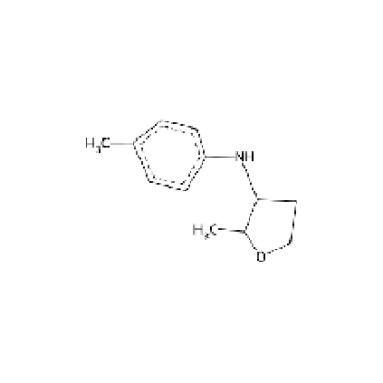 Cc1ccc(NC2CCOC2C)cc1